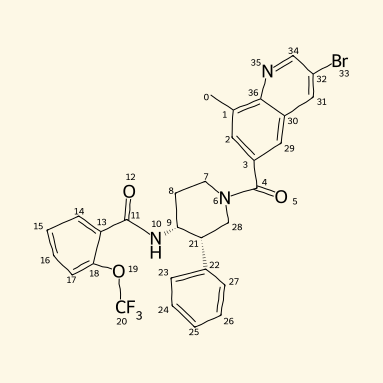 Cc1cc(C(=O)N2CC[C@@H](NC(=O)c3ccccc3OC(F)(F)F)[C@@H](c3ccccc3)C2)cc2cc(Br)cnc12